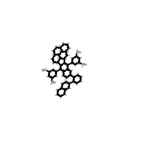 CC(C)(C)c1cc(-c2c3c(c(-c4cc(C(C)(C)C)cc(C(C)(C)C)c4)c4cc(-c5ccccc5-c5ccc6ccccc6c5)c(Cl)cc24)-c2cc4cccc5ccc6ccc-3c2c6c54)cc(C(C)(C)C)c1